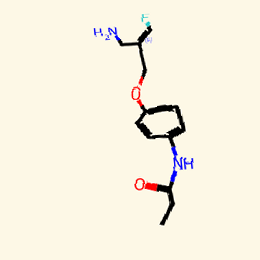 CCC(=O)Nc1ccc(OC/C(=C/F)CN)cc1